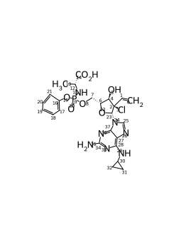 C=C[C@@]1(Cl)[C@H](O)[C@@H](COP(=O)(N[C@H](C)C(=O)O)Oc2ccccc2)O[C@H]1n1cnc2c(NC3CC3)nc(N)nc21